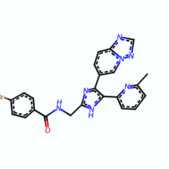 Cc1cccc(-c2[nH]c(CNC(=O)c3ccc(Br)cc3)nc2-c2ccc3ncnn3c2)n1